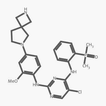 COc1cc(N2CCC3(CNC3)C2)ccc1Nc1ncc(Cl)c(Nc2ccccc2P(C)(C)=O)n1